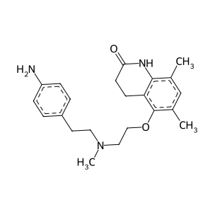 Cc1cc(C)c(OCCN(C)CCc2ccc(N)cc2)c2c1NC(=O)CC2